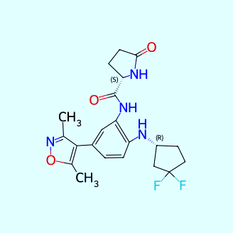 Cc1noc(C)c1-c1ccc(N[C@@H]2CCC(F)(F)C2)c(NC(=O)[C@@H]2CCC(=O)N2)c1